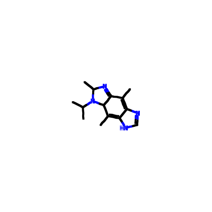 CC1=c2nc[nH]c2=C(C)C2C1=NC(C)N2C(C)C